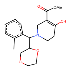 COC(=O)C1=C(O)CCN(C(c2ccccc2C)C2COCCO2)C1